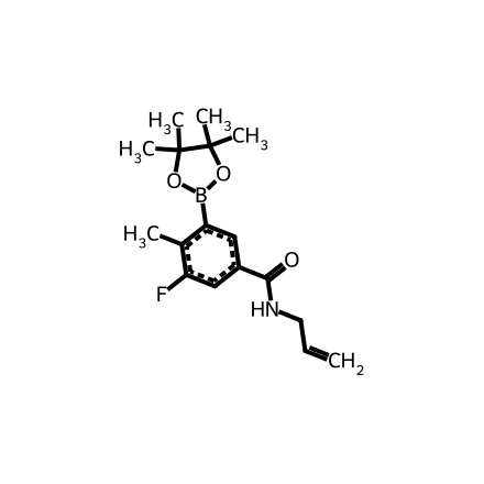 C=CCNC(=O)c1cc(F)c(C)c(B2OC(C)(C)C(C)(C)O2)c1